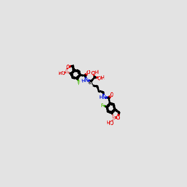 O=C(NCCCC[C@H](NC(=O)c1cc2c(cc1F)B(O)OC2)C(O)O)c1cc2c(cc1F)B(O)OC2